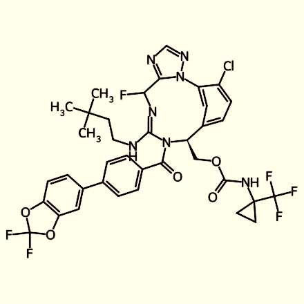 CC(C)(C)CCN/C1=N\C(F)c2ncnn2-c2cc(ccc2Cl)[C@@H](COC(=O)NC2(C(F)(F)F)CC2)N1C(=O)c1ccc(-c2ccc3c(c2)OC(F)(F)O3)cc1